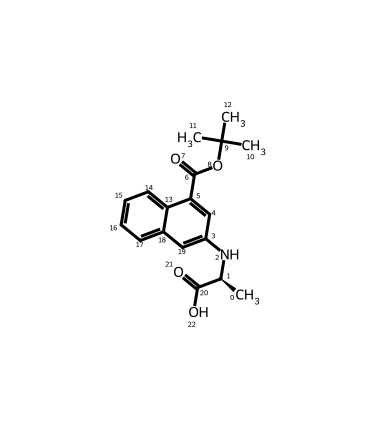 C[C@H](Nc1cc(C(=O)OC(C)(C)C)c2ccccc2c1)C(=O)O